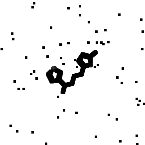 Cc1ccc(CCCC(C)c2ccoc2)s1